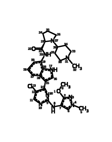 COc1nn(C)cc1Nc1ncc(Cl)c(-c2c[nH]c3c(NC(=O)[C@H]4CCCN4C4CCN(C)CC4)cccc23)n1